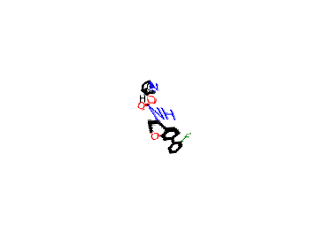 O=C(NC1CCOc2cc(-c3ccccc3F)ccc21)O[C@@H]1CN2CCC1CC2